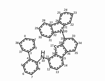 c1ccc(-c2ccccc2Nc2cccc3c2sc2c(-n4c5ccccc5c5ccccc54)cccc23)cc1